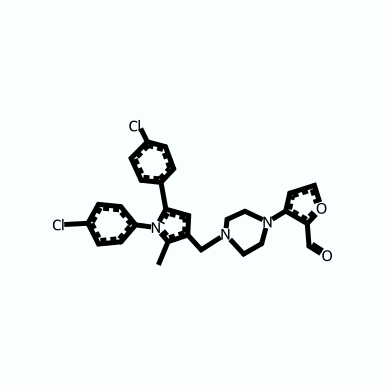 Cc1c(CN2CCN(c3ccoc3C=O)CC2)cc(-c2ccc(Cl)cc2)n1-c1ccc(Cl)cc1